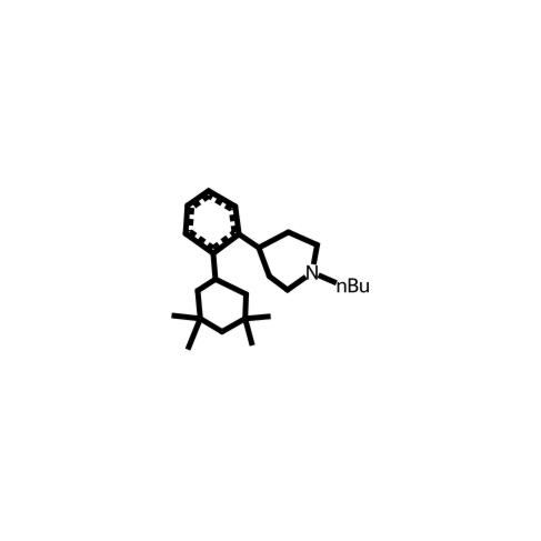 CCCCN1CCC(c2ccccc2C2CC(C)(C)CC(C)(C)C2)CC1